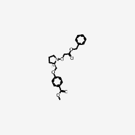 COC(=O)c1ccc(OC[C@H]2CCCN2OCC(=O)OCc2ccccc2)cc1